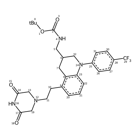 CC(C)(C)OC(=O)NCC1Cc2c(CCN3CC(=O)NC(=O)C3)cccc2N(c2ccc(C(F)(F)F)cc2)C1